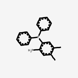 Cc1cc(P)c(P(c2ccccc2)c2ccccc2)cc1C